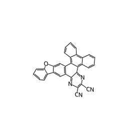 N#Cc1nc2c3cc4c(cc3c3c5ccccc5c5ccccc5c3c2nc1C#N)oc1ccccc14